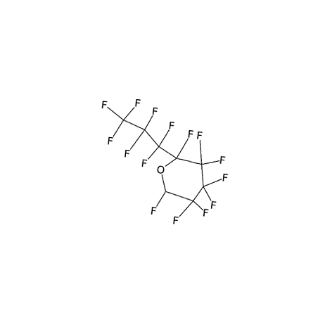 FC1OC(F)(C(F)(F)C(F)(F)C(F)(F)F)C(F)(F)C(F)(F)C1(F)F